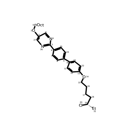 CCCCCCCCOc1cnc(-c2ccc(-c3ccc(OCCCC[C@@H](Cl)CC)cc3)cc2)nc1